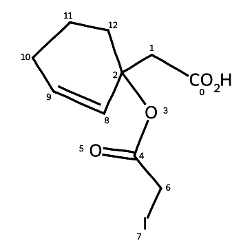 O=C(O)CC1(OC(=O)CI)C=CCCC1